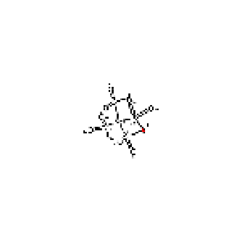 CS(=O)(=O)[Si](S(C)(=O)=O)(S(C)(=O)=O)S(C)(=O)=O